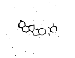 C[C@@H]1C2CC[C@]3(C)C(CC=C4C5CC(C)(C)CC[C@]5(C(=O)O)CC[C@]43C)[C@@]2(C)CC[C@@H]1C(O)[C@@H]1OC[C@@H](O)C(O)C1O